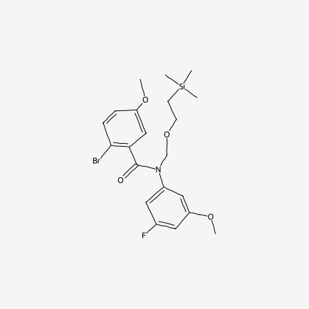 COc1cc(F)cc(N(COCC[Si](C)(C)C)C(=O)c2cc(OC)ccc2Br)c1